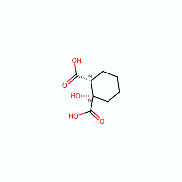 O=C(O)[C@@H]1CCCC[C@@]1(O)C(=O)O